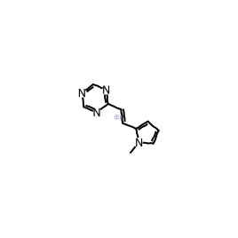 Cn1cccc1/C=C/c1ncncn1